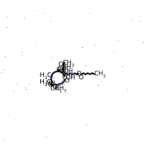 C=C1/C=C(/C)CCC2OC2C(OC(=O)NC(C)=O)C(C(O)C(O)/C=C/CCOC(=O)CCCCCCC)OC(=O)/C=C\C=C\C(OC)(C(C)=O)N1